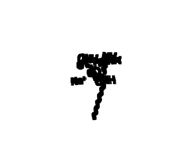 CCCCCCCCCCCC(=O)N[C@@H](CCCNC(=N)N)C(=O)OC(=O)CC[C@H](N)C(=O)[O-].[Na+]